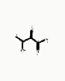 CC(=O)C(=O)C(=O)C(C)O